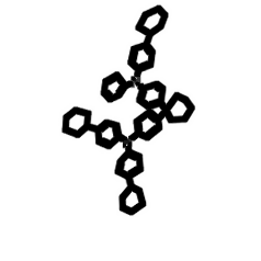 c1ccc(N(c2ccc(C3CCCCC3)cc2)c2ccc(C3(c4ccc(N(c5ccc(C6CCCCC6)cc5)c5ccc(C6CCCCC6)cc5)cc4)CCCCC3)cc2)cc1